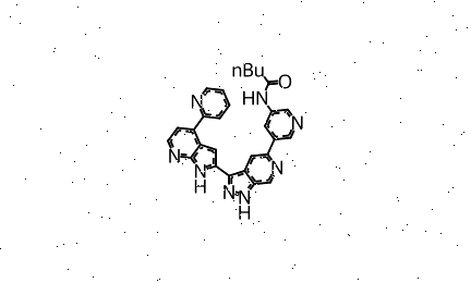 CCCCC(=O)Nc1cncc(-c2cc3c(-c4cc5c(-c6ccccn6)ccnc5[nH]4)n[nH]c3cn2)c1